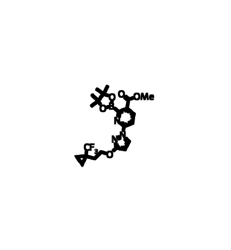 COC(=O)c1ccc(-n2ccc(OCCC3(C(F)(F)F)CC3)n2)nc1B1OC(C)(C)C(C)(C)O1